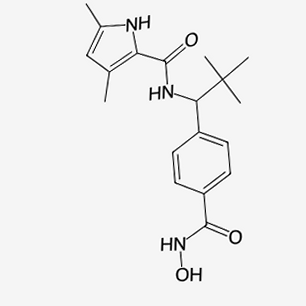 Cc1cc(C)c(C(=O)NC(c2ccc(C(=O)NO)cc2)C(C)(C)C)[nH]1